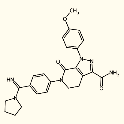 COc1ccc(-n2nc(C(N)=O)c3c2C(=O)N(c2ccc(C(=N)N4CCCC4)cc2)CC3)cc1